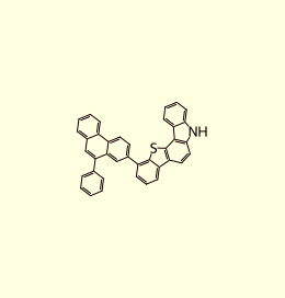 c1ccc(-c2cc3ccccc3c3ccc(-c4cccc5c4sc4c5ccc5[nH]c6ccccc6c54)cc23)cc1